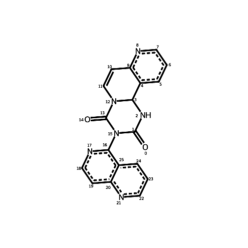 O=C1NC2c3cccnc3C=CN2C(=O)N1c1nccc2ncccc12